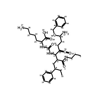 CCCNC(=O)C(CC(CC)c1ccccc1)C(NC(=O)NC(CCCCN)C(=O)O)C(=C=O)CCC(N)OCc1ccccc1